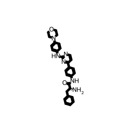 N[C@H](Cc1ccccc1)C(=O)Nc1ccc(-c2ccnc(Nc3ccc(N4CCOCC4)cc3)n2)cc1